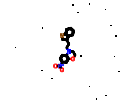 O=[N+]([O-])c1ccc2c(c1)OCCN2CCc1csc2ccccc12